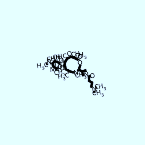 CO[C@]1(C)C[C@@H](C)CN(C)C(C2CN(C(=O)CCCN(C)C)C2)COC(=O)C(C)(C)C(=O)[C@H](C)[C@H]1O[C@@H]1O[C@H](C)C[C@H](N(C)C)[C@H]1O